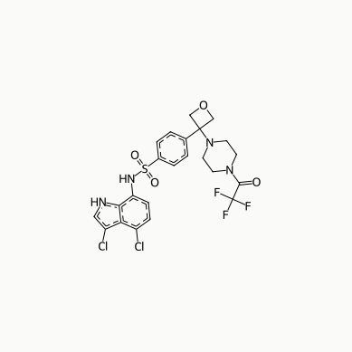 O=C(N1CCN(C2(c3ccc(S(=O)(=O)Nc4ccc(Cl)c5c(Cl)c[nH]c45)cc3)COC2)CC1)C(F)(F)F